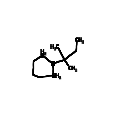 CCC(C)(C)N1[SiH2]CCC[SiH2]1